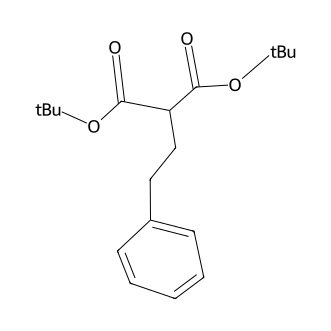 CC(C)(C)OC(=O)C(CCc1ccccc1)C(=O)OC(C)(C)C